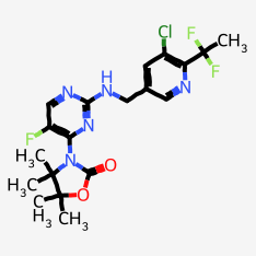 CC(F)(F)c1ncc(CNc2ncc(F)c(N3C(=O)OC(C)(C)C3(C)C)n2)cc1Cl